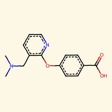 CN(C)Cc1cccnc1Oc1ccc(C(=O)O)cc1